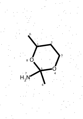 CC1CCOC(C)(N)O1